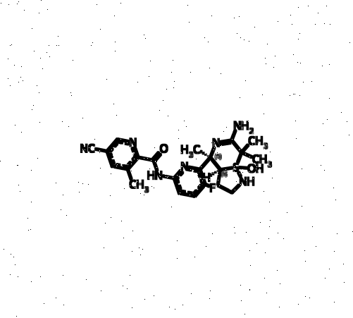 Cc1cc(C#N)cnc1C(=O)Nc1ccc(F)c([C@@]2(C)N=C(N)C(C)(C)S3(O)NCC[C@@H]23)n1